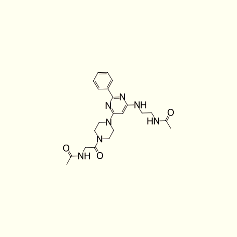 CC(=O)NCCNc1cc(N2CCN(C(=O)CNC(C)=O)CC2)nc(-c2ccccc2)n1